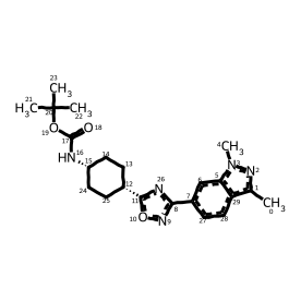 Cc1nn(C)c2cc(-c3noc([C@H]4CC[C@@H](NC(=O)OC(C)(C)C)CC4)n3)ccc12